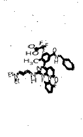 CCN(CC)CCCNc1nc(-c2cc(C(=O)NCC3CCCCC3)ccc2C)c2ccc(=O)n(-c3c(F)cccc3F)c2n1.O=C(O)C(F)(F)F